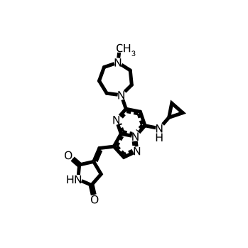 CN1CCCN(c2cc(NC3CC3)n3ncc(C=C4CC(=O)NC4=O)c3n2)CC1